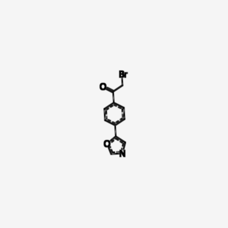 O=C(CBr)c1ccc(-c2cnco2)cc1